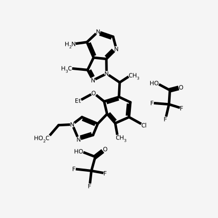 CCOc1c(C(C)n2nc(C)c3c(N)ncnc32)cc(Cl)c(C)c1-c1cnn(CC(=O)O)c1.O=C(O)C(F)(F)F.O=C(O)C(F)(F)F